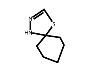 C1=NNC2(CCCCC2)S1